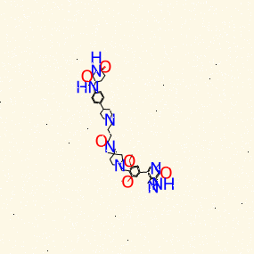 COc1cc(-c2cn(C)c(=O)c3[nH]ncc23)cc(OC)c1CN1CCC2(CC1)CN(C(=O)CCCN1CCC(c3ccc(NC4CCC(=O)NC4=O)cc3)CC1)C2